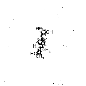 C[C@H](CN1CC[C@](C)(O)C1)[C@H]1CC[C@H]2/C(=C/C=C3/C[C@@H](O)C[C@@H](O)C3)CCC[C@]12C